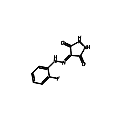 O=C1NNC(=O)C1=NNc1ccccc1F